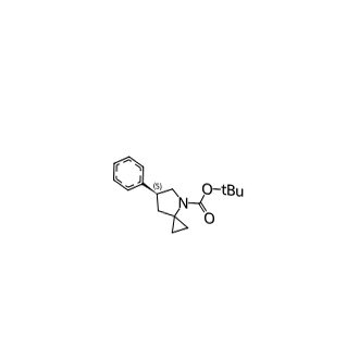 CC(C)(C)OC(=O)N1C[C@H](c2ccccc2)CC12CC2